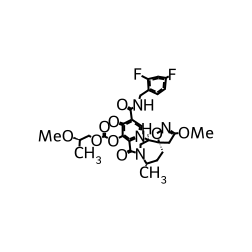 COC1=NO[C@@]2(CC[C@H](C)N3C[C@H]2n2cc(C(=O)NCc4ccc(F)cc4F)c(=O)c(OC(=O)OC[C@@H](C)OC)c2C3=O)C1